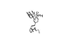 CC=CC1=CN2C(=O)C(N)(C(=O)O)[C@@H]2SC1